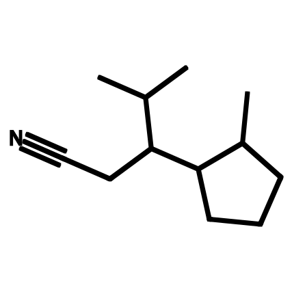 CC(C)C(CC#N)C1CCCC1C